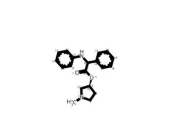 CN1CC[C@H](OC(=O)C(Nc2ccccc2)c2ccccc2)C1